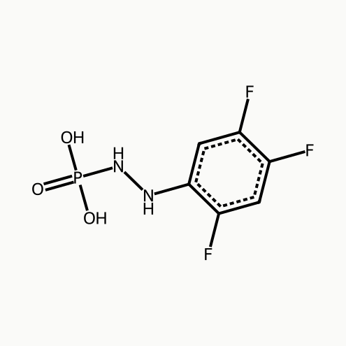 O=P(O)(O)NNc1cc(F)c(F)cc1F